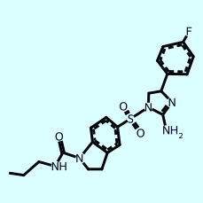 CCCNC(=O)N1CCc2cc(S(=O)(=O)N3CC(c4ccc(F)cc4)N=C3N)ccc21